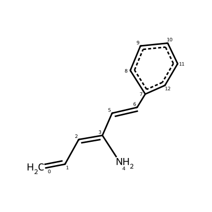 C=CC=C(N)C=Cc1ccccc1